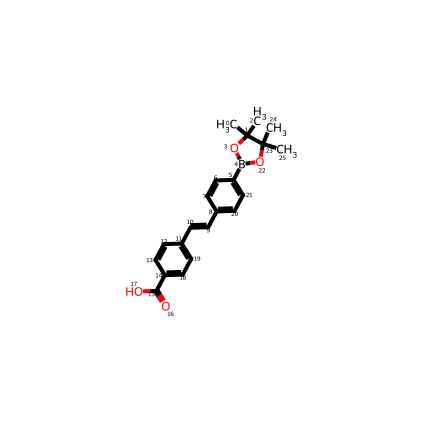 CC1(C)OB(c2ccc(C=Cc3ccc(C(=O)O)cc3)cc2)OC1(C)C